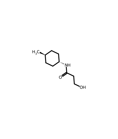 C[C@H]1CC[C@H](NC(=O)CCO)CC1